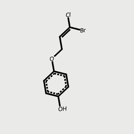 Oc1ccc(OCC=C(Cl)Br)cc1